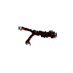 CCCCCCCCCCCCC/C=C/[C@@H](O)[C@H](CO[C@@H]1OC(CO)[C@@H](O[C@@H]2OC(CO)[C@H](O[C@@H]3OC(CO)[C@H](O[C@@H]4OC(CO)[C@H](O)[C@H](O[C@@H]5OC(CO)[C@H](O)[C@H](O)C5O)C4NC(C)=O)[C@H](O)C3O)[C@H](O)C2O)[C@H](O)C1O)NC(=O)CCCCCCCCCCCCCCC